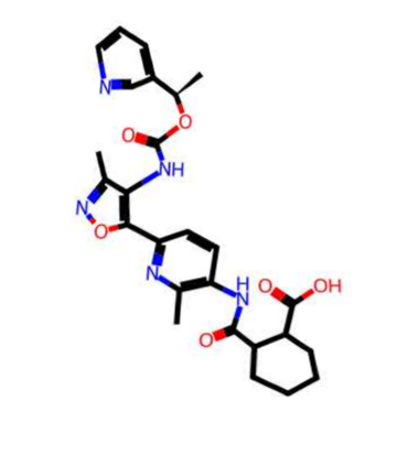 Cc1nc(-c2onc(C)c2NC(=O)O[C@H](C)c2cccnc2)ccc1NC(=O)C1CCCCC1C(=O)O